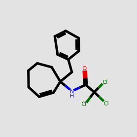 O=C(NC1(Cc2ccccc2)C=CCCCC1)C(Cl)(Cl)Cl